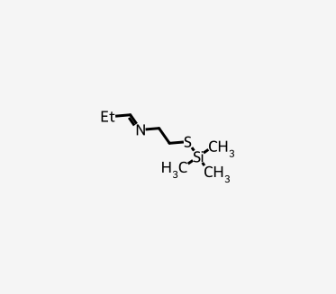 CCC=NCCS[Si](C)(C)C